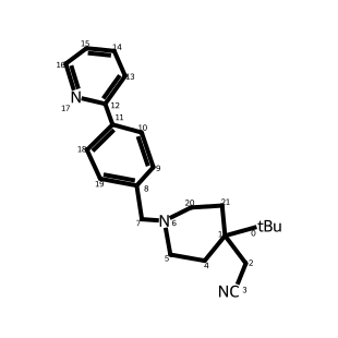 CC(C)(C)C1(CC#N)CCN(Cc2ccc(-c3ccccn3)cc2)CC1